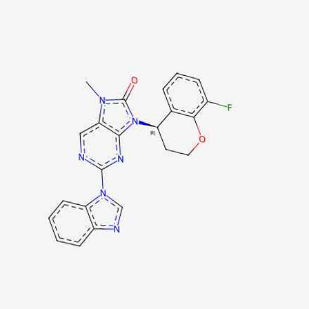 Cn1c(=O)n([C@@H]2CCOc3c(F)cccc32)c2nc(-n3cnc4ccccc43)ncc21